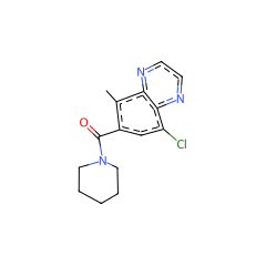 Cc1c(C(=O)N2CCCCC2)cc(Cl)c2nccnc12